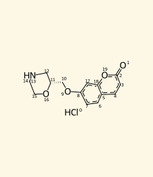 Cl.O=c1ccc2ccc(OC[C@H]3CNCCO3)cc2o1